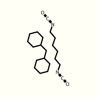 C1CCC(CC2CCCCC2)CC1.O=C=NCCCCCCN=C=O